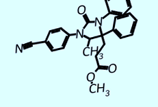 COC(=O)CCC1(c2ccccc2)C(C)N(c2ccc(C#N)cc2)C(=O)N1c1ccccc1